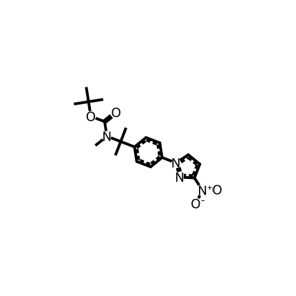 CN(C(=O)OC(C)(C)C)C(C)(C)c1ccc(-n2ccc([N+](=O)[O-])n2)cc1